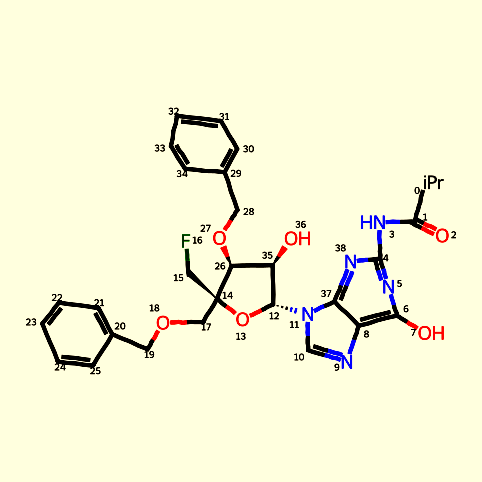 CC(C)C(=O)Nc1nc(O)c2ncn([C@@H]3O[C@](CF)(COCc4ccccc4)[C@@H](OCc4ccccc4)[C@H]3O)c2n1